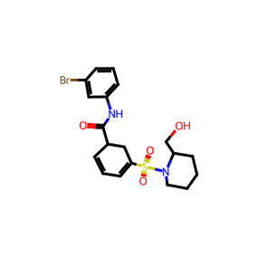 O=C(Nc1cccc(Br)c1)C1C=CC=C(S(=O)(=O)N2CCCCC2CO)C1